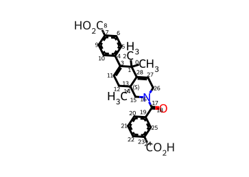 CC1(C)C(c2ccc(C(=O)O)cc2)=CC[C@]2(C)CN(C(=O)c3cccc(C(=O)O)c3)CC=C12